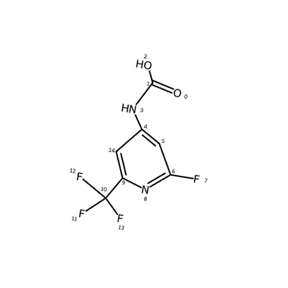 O=C(O)Nc1cc(F)nc(C(F)(F)F)c1